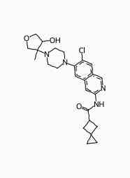 CC1(N2CCN(c3cc4cc(NC(=O)C5CC6(CC6)C5)ncc4cc3Cl)CC2)COCC1O